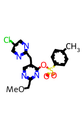 COCc1ncc(Cc2ncc(Cl)cn2)c(OS(=O)(=O)c2ccc(C)cc2)n1